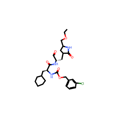 CCOCC1CC(C[C@@H](C=O)NC(=O)[C@H](CC2CCCCC2)NC(=O)OCc2cccc(Cl)c2)C(=O)N1